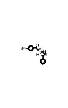 CC(C)c1ccc(C(=O)CSc2nnc(-c3ccccc3)[nH]2)cc1